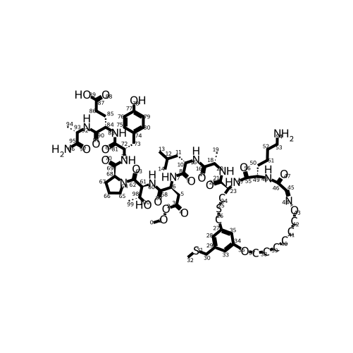 COOC(=O)C[C@H](NC(=O)[C@H](CC(C)C)NC(=O)[C@H](C)NC(=O)[C@@H]1CSCc2cc(CSC)cc(c2)OCCCCCCO/N=C/C(=O)N[C@@H](CCCCN)C(=O)N1)C(=O)N[C@H](C(=O)N1CCC[C@H]1C(=O)N[C@@H](Cc1ccc(O)cc1)C(=O)N[C@@H](CCC(=O)O)C(=O)N[C@@H](C)C(N)=O)[C@@H](C)O